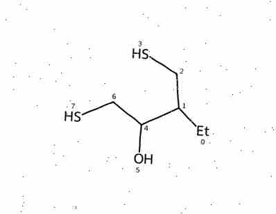 CCC(CS)C(O)CS